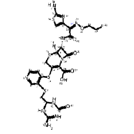 N=C(N)NC(CSc1cnccc1SC1=C(C(=O)O)N2C(=O)[C@@H](NC(=O)/C(=N\OCCF)c3csc(N)n3)[C@@H]2SC1)NC=O